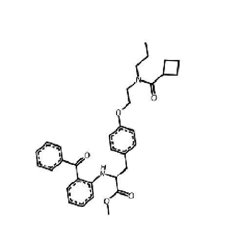 CCCN(CCOc1ccc(C[C@H](Nc2ccccc2C(=O)c2ccccc2)C(=O)OC)cc1)C(=O)C1CCC1